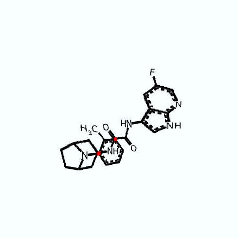 Cc1ccccc1N1C2CCC1CC(NC(=O)C(=O)Nc1c[nH]c3ncc(F)cc13)C2